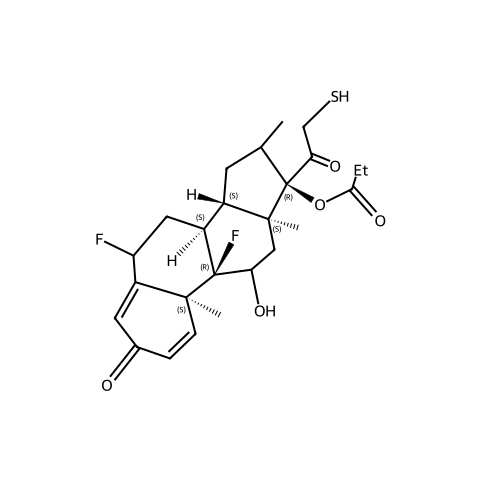 CCC(=O)O[C@]1(C(=O)CS)C(C)C[C@H]2[C@@H]3CC(F)C4=CC(=O)C=C[C@]4(C)[C@@]3(F)C(O)C[C@@]21C